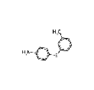 Cc1cccc(Sc2ccc(N)cc2)c1